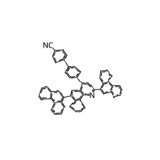 N#Cc1ccc(-c2ccc(-c3cc(-c4cc5ccccc5c5ccccc45)nc4c3cc(-c3cc5ccccc5c5ccccc35)c3ccccc34)cc2)cc1